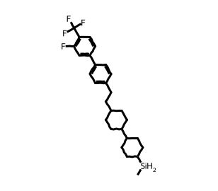 C[SiH2]C1CCC(C2CCC(CCc3ccc(-c4ccc(C(F)(F)F)c(F)c4)cc3)CC2)CC1